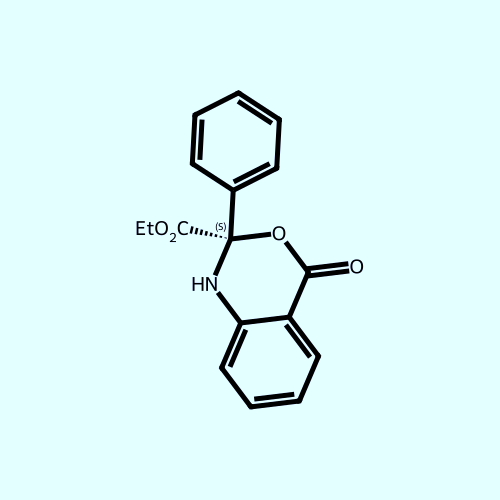 CCOC(=O)[C@@]1(c2ccccc2)Nc2ccccc2C(=O)O1